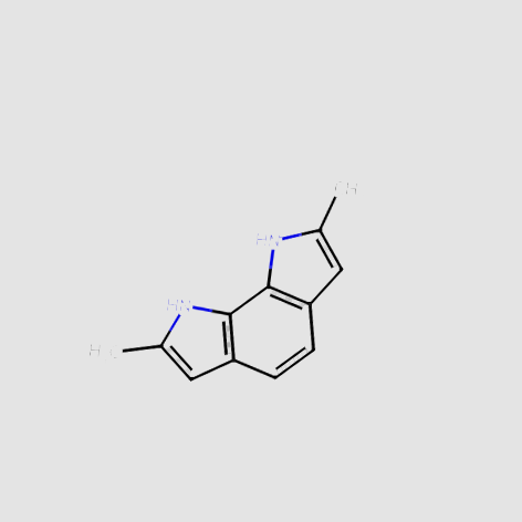 Cc1cc2ccc3cc(C)[nH]c3c2[nH]1